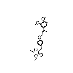 CCOC(=O)[C@H](Cc1ccc(OC/C=C(\C)c2ccc(OC)c(OC)c2)cc1)OCC